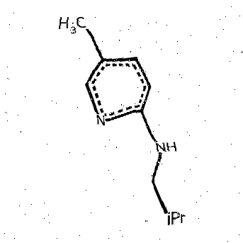 Cc1ccc(NCC(C)C)nc1